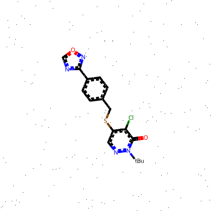 CC(C)(C)n1ncc(SCc2ccc(-c3ncon3)cc2)c(Cl)c1=O